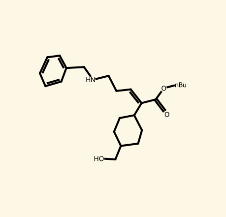 CCCCOC(=O)C(=CCCNCc1ccccc1)C1CCC(CO)CC1